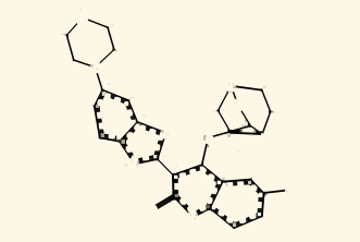 O=c1[nH]c2ccc(Cl)cc2c(N[C@H]2CN3CCC2CC3)c1-c1nc2cc(N3CCOCC3)ccc2[nH]1